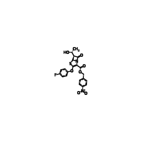 C[C@@H](O)[C@H]1C(=O)N2C(C(=O)OCc3ccc([N+](=O)[O-])cc3)=C(Oc3ccc(F)cc3)SC12